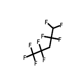 F[C](F)C(F)(F)CC(F)(F)C(F)(F)F